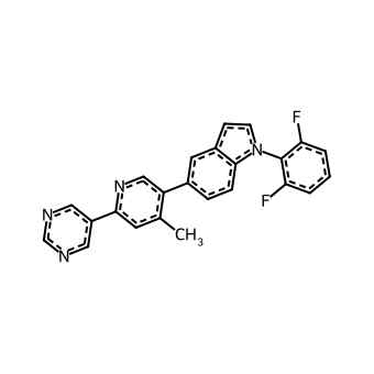 Cc1cc(-c2cncnc2)ncc1-c1ccc2c(ccn2-c2c(F)cccc2F)c1